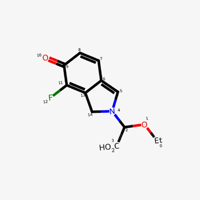 CCOC(C(=O)O)N1C=C2C=CC(=O)C(F)=C2C1